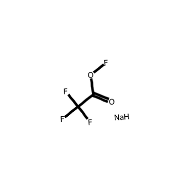 O=C(OF)C(F)(F)F.[NaH]